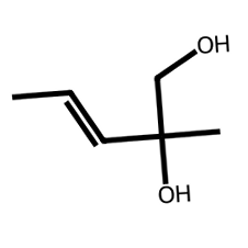 CC=CC(C)(O)CO